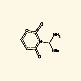 CCCCC(N)n1c(=O)ccoc1=O